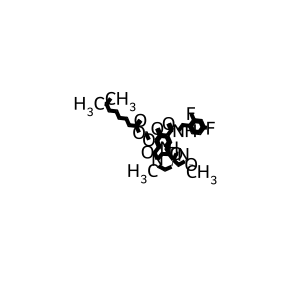 COC1=NO[C@@]2(CC[C@H](C)N3C[C@H]2n2cc(C(=O)NCc4ccc(F)cc4F)c(=O)c(OCOC(=O)CCCCCC(C)C)c2C3=O)C1